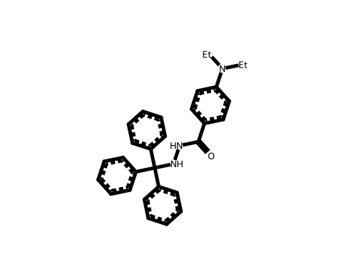 CCN(CC)c1ccc(C(=O)NNC(c2ccccc2)(c2ccccc2)c2ccccc2)cc1